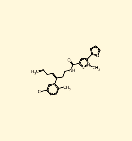 C=CC/C=C(/CCNC(=O)c1cc(-c2ccco2)n(C)n1)c1cc(Cl)ccc1C